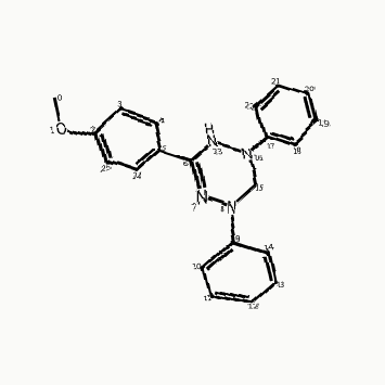 COc1ccc(C2=NN(c3ccccc3)CN(c3ccccc3)N2)cc1